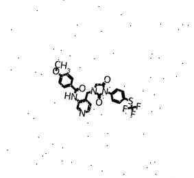 COc1ccc(C(=O)Nc2cnccc2CN2CC(=O)N(c3ccc(SC(F)(F)F)cc3)C2=O)cc1